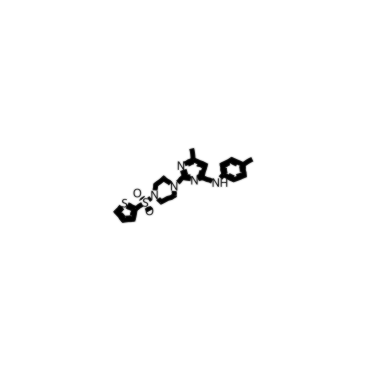 Cc1ccc(Nc2cc(C)nc(N3CCN(S(=O)(=O)c4cccs4)CC3)n2)cc1